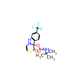 CC(C)(C)NC(=O)OC1(c2ccc(C(F)(F)F)cc2)NC=CSC1=O